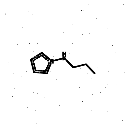 CCCNn1cccc1